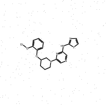 CCOc1ccccc1OC1CCCN(c2cncc(Nc3nccs3)n2)C1